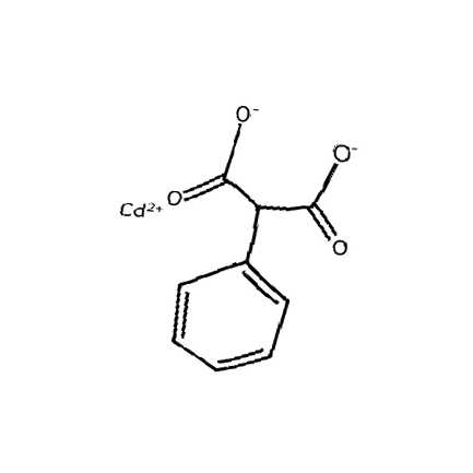 O=C([O-])C(C(=O)[O-])c1ccccc1.[Cd+2]